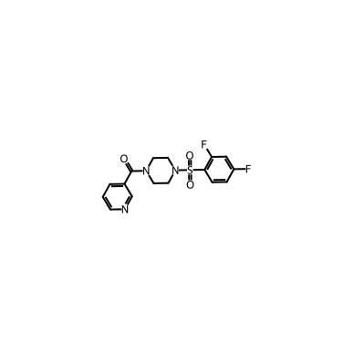 O=C(c1cccnc1)N1CCN(S(=O)(=O)c2ccc(F)cc2F)CC1